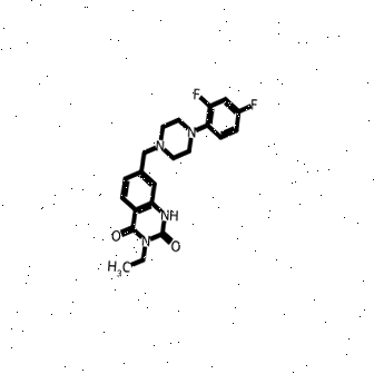 CCn1c(=O)[nH]c2cc(CN3CCN(c4ccc(F)cc4F)CC3)ccc2c1=O